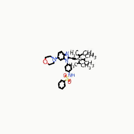 CC(C)[Si](C#Cc1nc2ccc(N3CCOCC3)cc2n1-c1ccc(NS(=O)(=O)c2ccccc2)cc1)(C(C)C)C(C)C